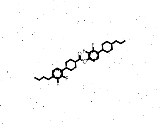 CCCCc1ccc(C2CCC(C(=O)Oc3ccc(C4CCC(CCC)CC4)c(F)c3F)CC2)c(F)c1F